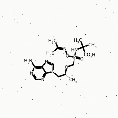 CC(C)=NO[P@](=O)(CO[C@H](C)Cn1cnc2c(N)ncnc21)NC(C)(C)C(=O)O